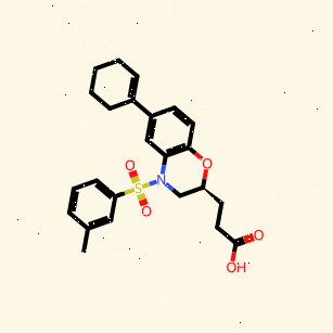 Cc1cccc(S(=O)(=O)N2C[C@H](CCC(=O)O)Oc3ccc(C4=CCCCC4)cc32)c1